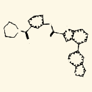 O=C(Nc1cccc(C(=O)N2CCCCC2)c1)c1cc2c(-c3cnc4[nH]ccc4c3)cccc2s1